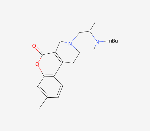 CCCCN(C)C(C)CN1CCc2c(c(=O)oc3cc(C)ccc23)C1